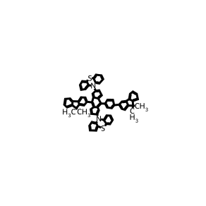 CC1(C)c2ccccc2-c2cc(-c3ccc(-c4c5ccc(N6c7ccccc7Sc7ccccc76)cc5c(-c5ccc6c(c5)C(C)(C)c5ccccc5-6)c5ccc(N6c7ccccc7Sc7ccccc76)cc45)cc3)ccc21